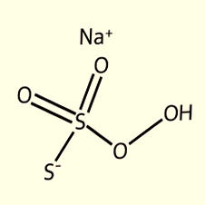 O=S(=O)([S-])OO.[Na+]